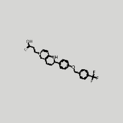 O=C(O)CCN1C=CC2=C(C=CC(c3ccc(OCc4ccc(C(F)(F)F)cc4)cc3)N2)C1